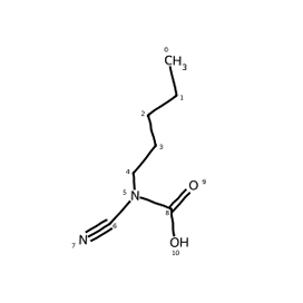 CCCCCN(C#N)C(=O)O